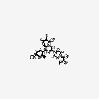 Cc1nc2c(-c3ccc(Cl)cc3F)nc(N3CCN(C(=O)C(F)F)CC3)cn2c(=O)c1C